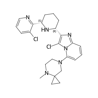 CN1CCN(c2cccc3nc([C@H]4CCC[C@@H](c5ncccc5Cl)N4)c(Cl)n23)CC12CC2